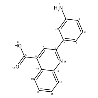 Nc1cccc(-c2cc(C(=O)O)c3ccccc3n2)c1